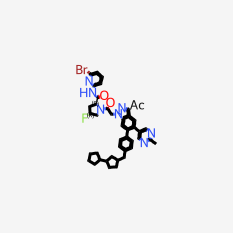 CC(=O)c1nn(CC(=O)N2C[C@H](F)C[C@H]2C(=O)Nc2cccc(Br)n2)c2cc(-c3ccc(CC4CCC(C5CCCC5)C4)cc3)c(-c3cnc(C)nc3)cc12